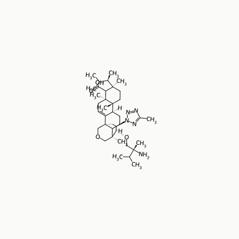 Cc1nnn([C@@H]2C[C@@]34COC[C@@](C)([C@@H]3CC[C@H]3C4=CC[C@@]4(C)C(C(=O)O)[C@@](C)([C@H](C)C(C)C)CC[C@]34C)[C@H]2OC[C@](C)(N)C(C)C)n1